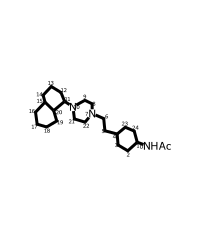 CC(=O)NC1CCC(CCN2CCN(C3CCCC4CCCCC43)CC2)CC1